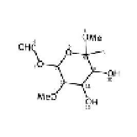 COC1C(OC=O)OC(C)(OC)C(O)C1O